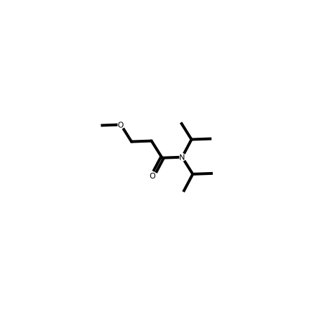 COCCC(=O)N(C(C)C)C(C)C